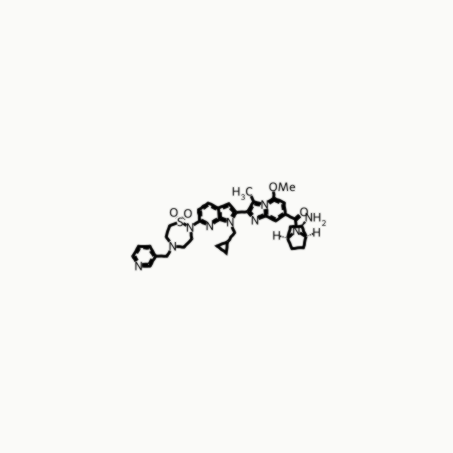 COc1cc(C(=O)N2[C@H]3CC[C@@H]2[C@H](N)C3)cc2nc(-c3cc4ccc(N5CCN(Cc6cccnc6)CCS5(=O)=O)nc4n3CC3CC3)c(C)n12